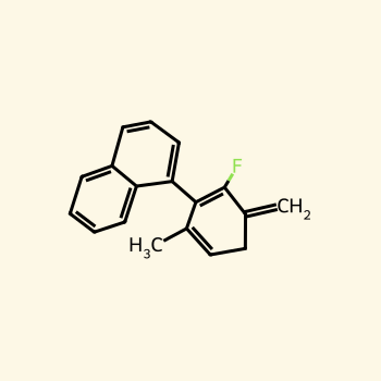 C=C1CC=C(C)C(c2cccc3ccccc23)=C1F